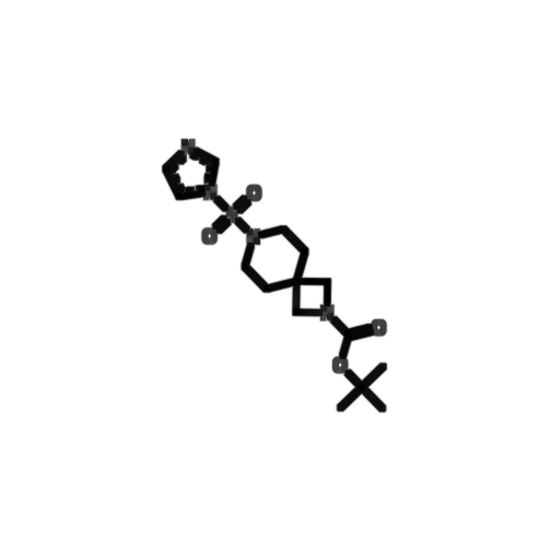 CC(C)(C)OC(=O)N1CC2(CCN(S(=O)(=O)n3ccnc3)CC2)C1